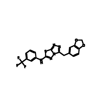 FC(F)(F)c1cccc(Nc2nn3c(Cc4ccc5c(c4)OCO5)nnc3s2)c1